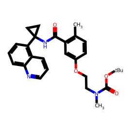 Cc1ccc(OCCN(C)C(=O)OC(C)(C)C)cc1C(=O)NC1(c2cccc3ncccc23)CC1